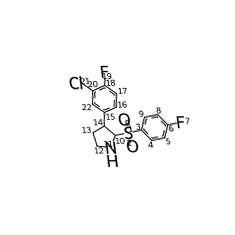 O=S(=O)(c1ccc(F)cc1)C1NCCC1c1ccc(F)c(Cl)c1